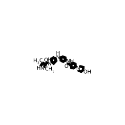 Cc1c[nH]c(C)c1C(=O)Nc1ccc(Nc2ccc(NC(=O)c3ccc(N4CCC(O)CC4)cc3)cc2)cc1